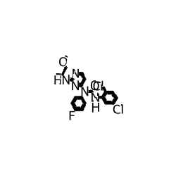 COC[C@H](C)Nc1nccc(N(C(=O)Nc2cc(Cl)ccc2Cl)c2ccc(F)cc2)n1